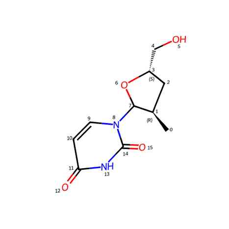 C[C@@H]1C[C@@H](CO)OC1n1ccc(=O)[nH]c1=O